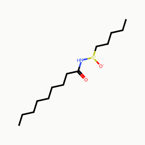 CCCCCCCCC(=O)N[S+]([O-])CCCCC